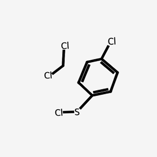 ClCCl.ClSc1ccc(Cl)cc1